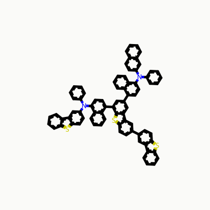 c1ccc(N(c2ccc3ccccc3c2)c2ccc(-c3cc(-c4ccc(N(c5ccccc5)c5ccc6sc7ccccc7c6c5)c5ccccc45)c4sc5ccc(-c6ccc7sc8ccccc8c7c6)cc5c4c3)c3ccccc23)cc1